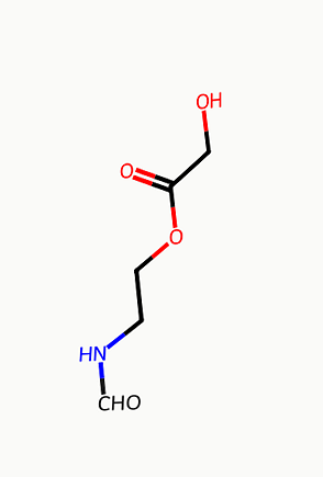 O=CNCCOC(=O)CO